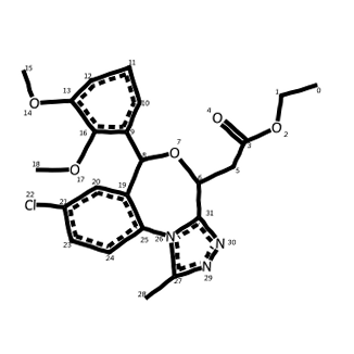 CCOC(=O)CC1OC(c2cccc(OC)c2OC)c2cc(Cl)ccc2-n2c(C)nnc21